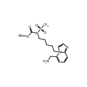 CC(C)(C)OC(=O)N(CCCCC[N+]12C=CN=C1C=CC=C2CN)S(=O)(=O)C(F)(F)F